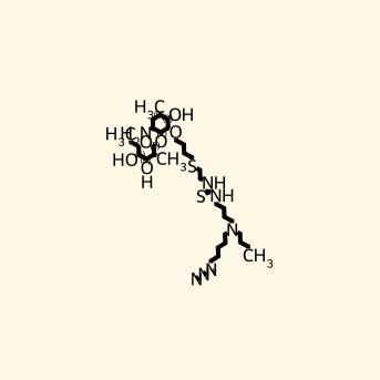 CCCCN(CCCCCN=[N+]=[N-])CCCCNC(=S)NCCSCCCCOC1[C@H](O[C@H]2OC(CC)[C@@H](O)[C@H](O)C2C)C(N)C[C@@H](C)[C@H]1O